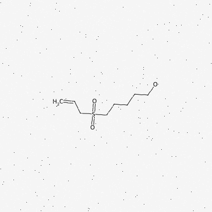 C=CCS(=O)(=O)CCCCC[O]